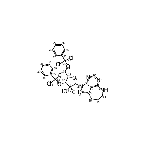 C[C@]1(O)C(n2cc3c4c(ncnc42)NCCC3)O[C@H](COC(Cl)(Cl)c2ccccc2)[C@H]1OC(Cl)(Cl)c1ccccc1